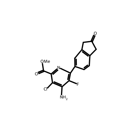 COC(=O)c1nc(-c2ccc3c(c2)CC(=O)C3)c(F)c(N)c1Cl